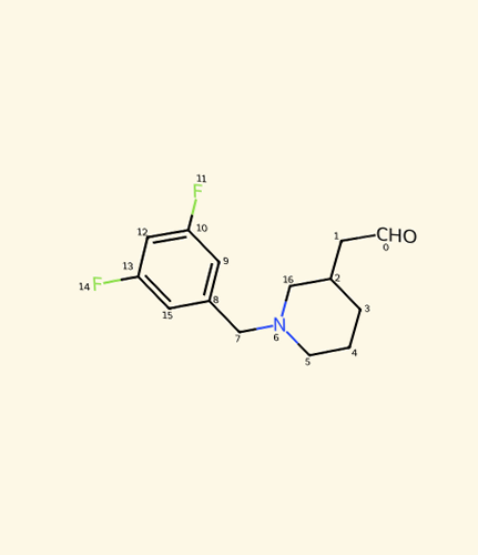 O=CCC1CCCN(Cc2cc(F)cc(F)c2)C1